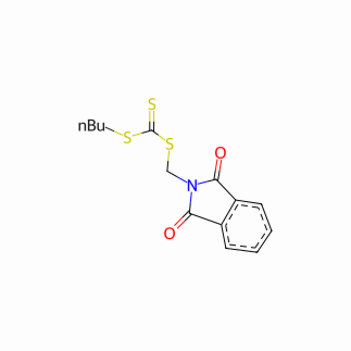 CCCCSC(=S)SCN1C(=O)c2ccccc2C1=O